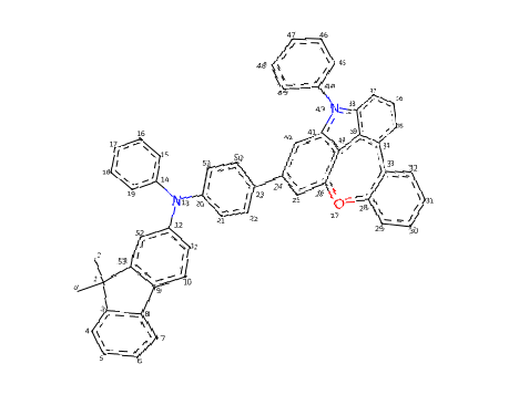 CC1(C)c2ccccc2-c2ccc(N(c3ccccc3)c3ccc(-c4cc5oc6ccccc6c6cccc7c6c5c(c4)n7-c4ccccc4)cc3)cc21